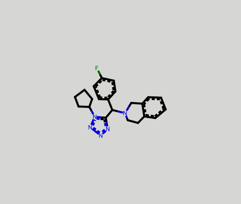 Fc1ccc(C(c2nnnn2C2CCCC2)N2CCc3ccccc3C2)cc1